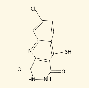 O=c1[nH][nH]c(=O)c2c(S)c3ccc(Cl)cc3nc12